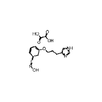 O=C(O)C(=O)O.ON=C=C1C=CC=C(OCCCc2c[nH]cn2)C1